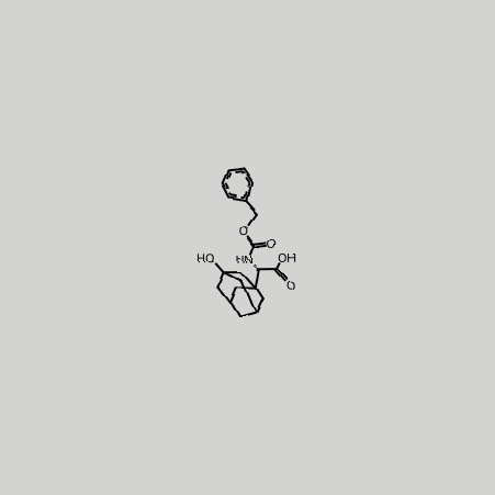 O=C(N[C@H](C(=O)O)C12CC3CC(CC(O)(C3)C1)C2)OCc1ccccc1